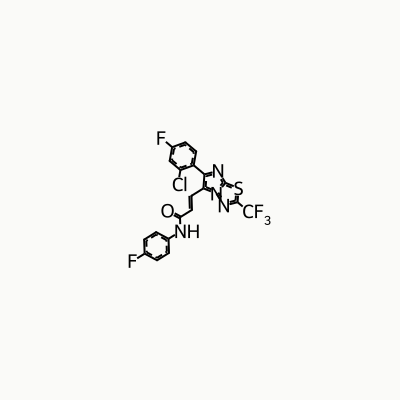 O=C(/C=C/c1c(-c2ccc(F)cc2Cl)nc2sc(C(F)(F)F)nn12)Nc1ccc(F)cc1